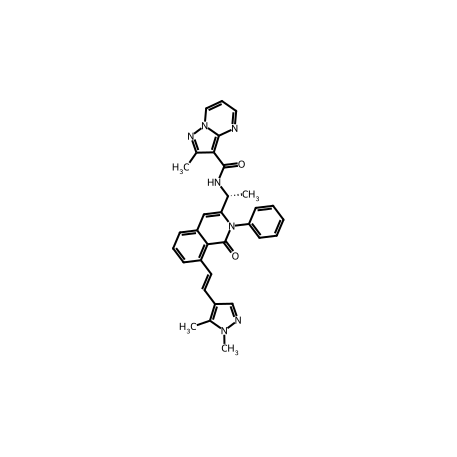 Cc1nn2cccnc2c1C(=O)N[C@H](C)c1cc2cccc(/C=C/c3cnn(C)c3C)c2c(=O)n1-c1ccccc1